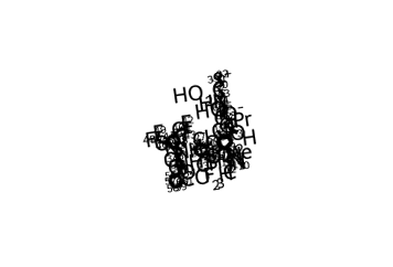 CC(C)OC(=O)c1cc(-c2nn(C)c(C(F)(F)F)c2Br)c(F)cc1Cl.COc1c(Cl)ccc(Cl)c1C(=O)O.C[S+](C)C.O=C(Nc1nc(OC(F)F)cc(OC(F)F)n1)NS(=O)(=O)c1ccccc1C(=O)O.O=C(O)CNCP(=O)([O-])O